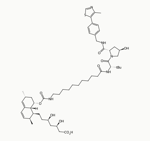 Cc1ncsc1-c1ccc(CNC(=O)[C@@H]2C[C@@H](O)CN2C(=O)[C@@H](NC(=O)CCCCCCCCCCNC(=O)O[C@H]2C[C@@H](C)C=C3C=C[C@H](C)[C@H](CC[C@@H](O)C[C@@H](O)CC(=O)O)[C@H]32)C(C)(C)C)cc1